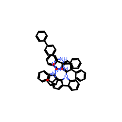 c1ccc(-c2ccc(C3N=C(n4c5ccccc5c5ccc6c7ccccc7n(-c7c(-c8ccccc8)ccc8c9ccccc9n(-c9ccccc9)c78)c6c54)NC(c4ccccc4)N3)cc2)cc1